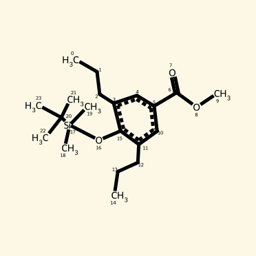 CCCc1cc(C(=O)OC)cc(CCC)c1O[Si](C)(C)C(C)(C)C